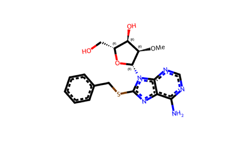 CO[C@@H]1[C@H](O)[C@@H](CO)O[C@H]1n1c(SCc2ccccc2)nc2c(N)ncnc21